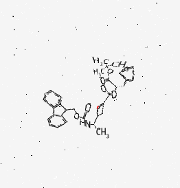 CC(NC(=O)OCC1c2ccccc2-c2ccccc21)C12CC(C(=O)O[C@@H](Cc3ccccc3)C(=O)OC(C)(C)C)(C1)C2